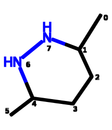 CC1CCC(C)NN1